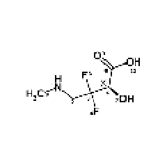 CNCC(F)(F)[C@H](O)C(=O)O